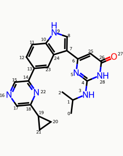 CC(C)Nc1nc(-c2c[nH]c3ccc(-c4cncc(C5CC5)n4)cc23)cc(=O)[nH]1